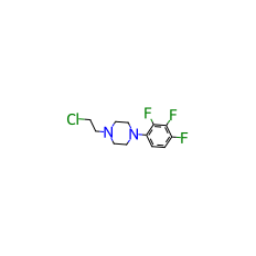 Fc1ccc(N2CCN(CCCl)CC2)c(F)c1F